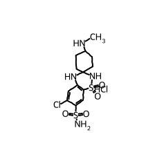 CNC1CCC2(CC1)Nc1cc(Cl)c(S(N)(=O)=O)cc1S(=O)(=O)N2.Cl